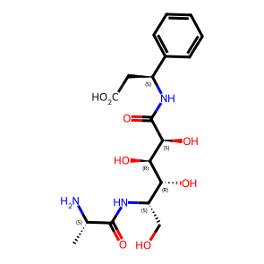 C[C@H](N)C(=O)N[C@@H](CO)[C@@H](O)[C@@H](O)[C@H](O)C(=O)N[C@@H](CC(=O)O)c1ccccc1